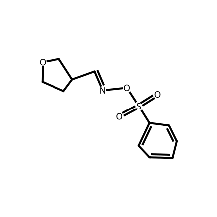 O=S(=O)(ON=CC1CCOC1)c1ccccc1